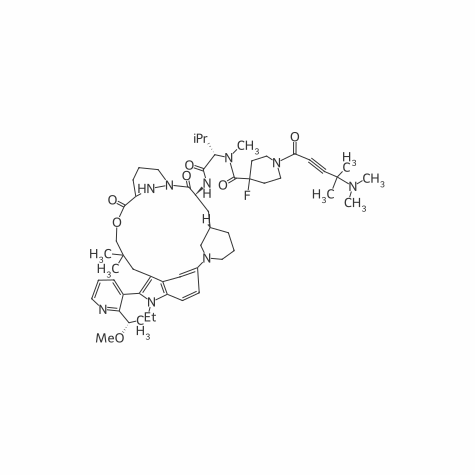 CCn1c(-c2cccnc2[C@H](C)OC)c2c3cc(ccc31)N1CCC[C@@H](C[C@H](NC(=O)[C@H](C(C)C)N(C)C(=O)C3(F)CCN(C(=O)C#CC(C)(C)N(C)C)CC3)C(=O)N3CCCC(N3)C(=O)OCC(C)(C)C2)C1